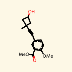 COC(=O)c1cc(C#CC2(C)CC(O)C2)ccc1OC